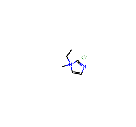 CC[N+]1(C)C=CN=C1.[Cl-]